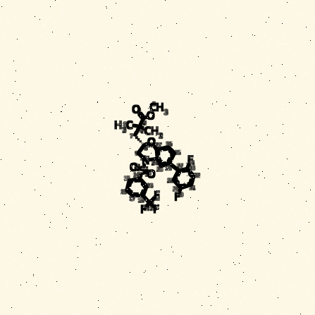 COC(=O)C(C)(C)C[C@H]1CN(S(=O)(=O)c2cccc(C(F)(F)F)c2)c2cc(-c3cc(F)ccc3F)ccc2O1